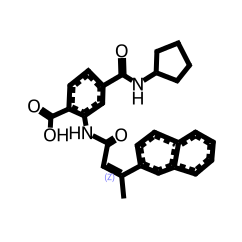 C/C(=C/C(=O)Nc1cc(C(=O)NC2CCCC2)ccc1C(=O)O)c1ccc2ccccc2c1